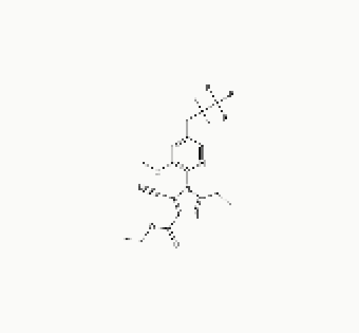 CCOC(=O)c1nc(CC)n(-c2ncc(CC(C)(C)C(F)(F)F)cc2OC)c1C#N